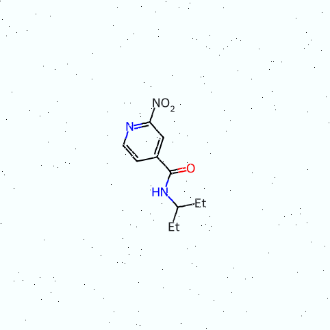 CCC(CC)NC(=O)c1ccnc([N+](=O)[O-])c1